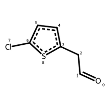 O=[C]Cc1ccc(Cl)s1